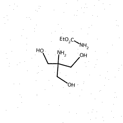 CCOC(N)=O.NC(CO)(CO)CO